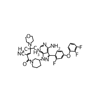 CC(C)(C=C(C#N)C(=O)N1CCC[C@H](n2nc(-c3ccc(Oc4cccc(F)c4F)cc3F)c3c(N)ncnc32)C1)N1CCOCC1